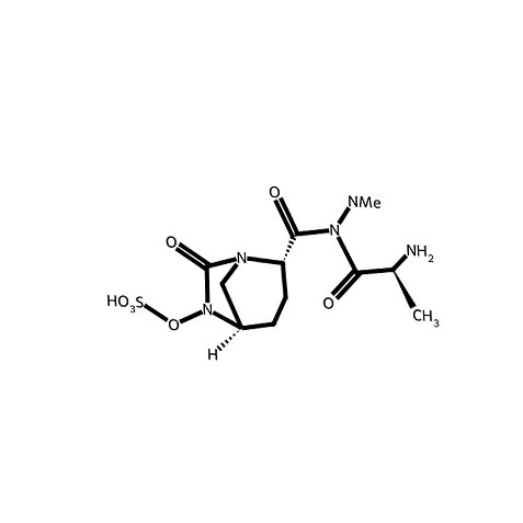 CNN(C(=O)[C@H](C)N)C(=O)[C@@H]1CC[C@@H]2CN1C(=O)N2OS(=O)(=O)O